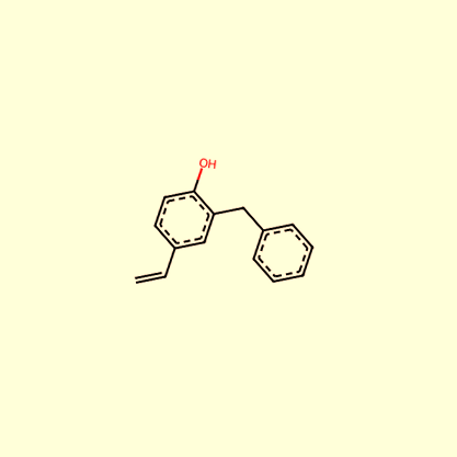 C=Cc1ccc(O)c(Cc2ccccc2)c1